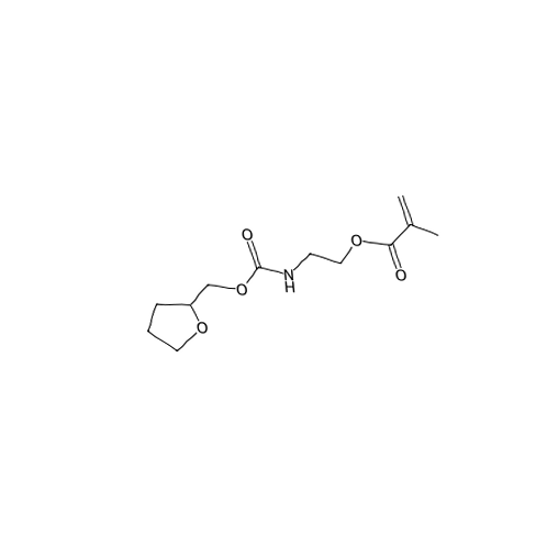 C=C(C)C(=O)OCCNC(=O)OCC1CCCO1